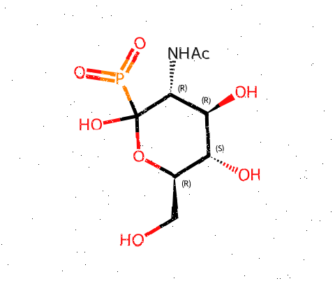 CC(=O)N[C@@H]1[C@@H](O)[C@H](O)[C@@H](CO)OC1(O)P(=O)=O